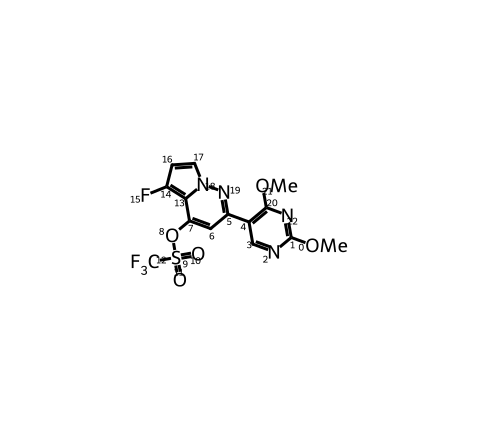 COc1ncc(-c2cc(OS(=O)(=O)C(F)(F)F)c3c(F)ccn3n2)c(OC)n1